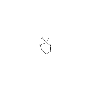 [Li][C]1(C)SCCCS1